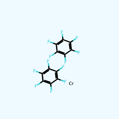 Fc1c(F)c(F)c(F)c(F)c1F.Fc1c(F)c(F)c(F)c(F)c1F.[Cr]